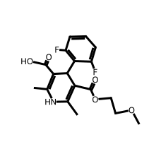 COCCOC(=O)C1=C(C)NC(C)=C(C(=O)O)C1c1c(F)cccc1F